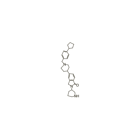 O=C1c2ccc(C3CCN(Cc4ccc(C5CCCC5)cc4)CC3)cc2CN1C1CCCNC1